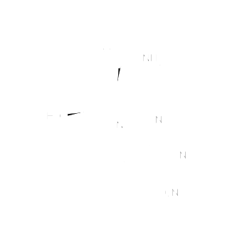 C[C@H]1C[C@@H](C(N)=O)CN(c2ccc(C#N)c3nccnc23)C1